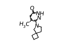 Cc1cc(=O)[nH]nc1N1CCC2(CCC2)C1